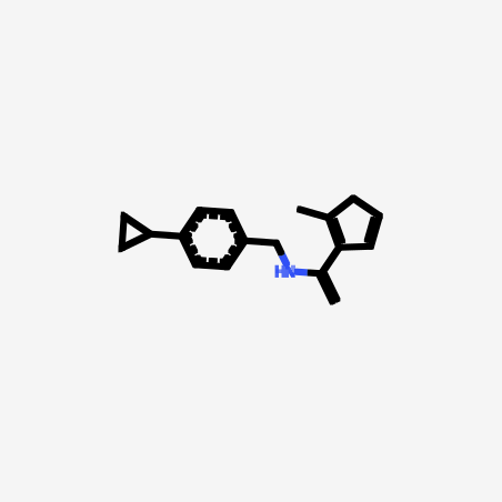 C=C(NCc1ccc(C2CC2)cc1)C1=C(C)CC=C1